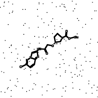 CC(C)(C)OC(=O)N1CC[C@@H](OCC(=O)Nc2cn3nc(Cl)ccc3n2)C1